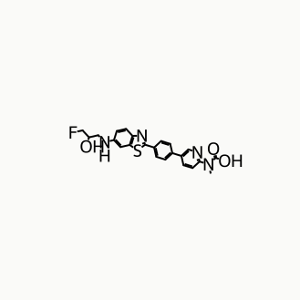 CN(C(=O)O)c1ccc(-c2ccc(-c3nc4ccc(NCC(O)CF)cc4s3)cc2)cn1